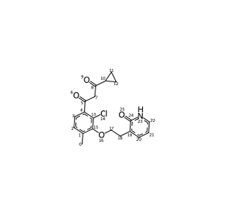 Cc1ccc(C(=O)CC(=O)C2CC2)c(Cl)c1OCCc1ccc[nH]c1=O